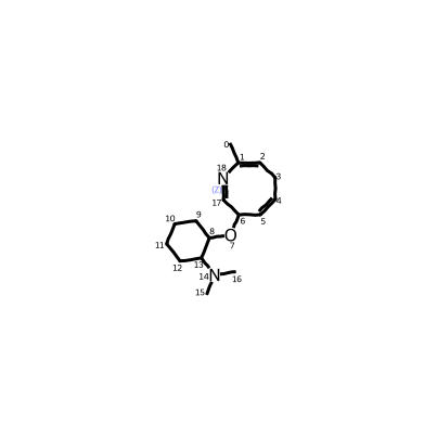 CC1=CCC=CC(OC2CCCCC2N(C)C)/C=N\1